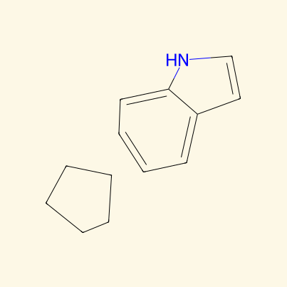 C1CCCC1.c1ccc2[nH]ccc2c1